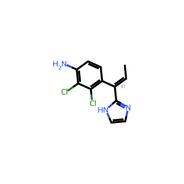 C/C=C(/c1ncc[nH]1)c1ccc(N)c(Cl)c1Cl